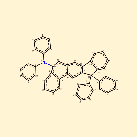 c1ccc(N(c2ccccc2)c2cc3cc4c(cc3c3ccccc23)C(c2ccccc2)(c2ccccc2)c2ccccc2-4)cc1